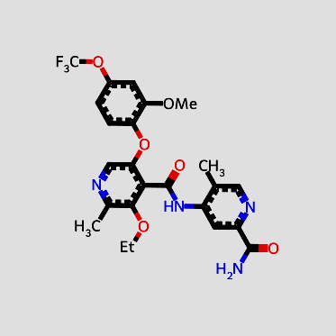 CCOc1c(C)ncc(Oc2ccc(OC(F)(F)F)cc2OC)c1C(=O)Nc1cc(C(N)=O)ncc1C